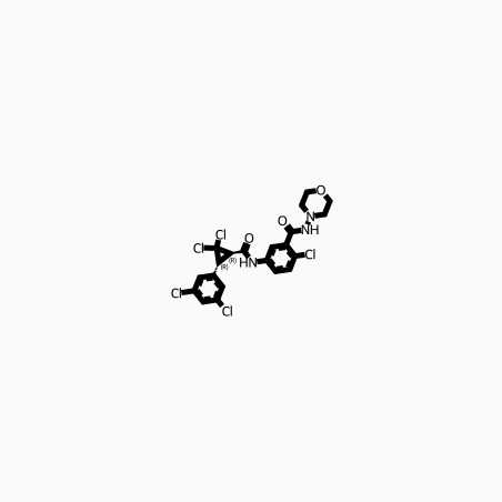 O=C(NN1CCOCC1)c1cc(NC(=O)[C@H]2[C@H](c3cc(Cl)cc(Cl)c3)C2(Cl)Cl)ccc1Cl